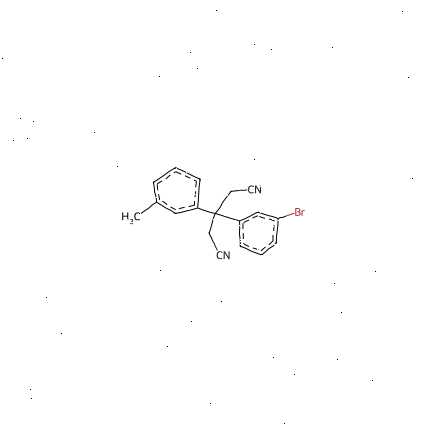 Cc1cccc(C(CC#N)(CC#N)c2cccc(Br)c2)c1